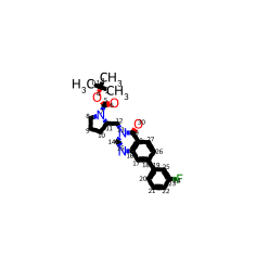 CC(C)(C)OC(=O)N1CCCC1Cn1cnc2cc(-c3cccc(F)c3)ccc2c1=O